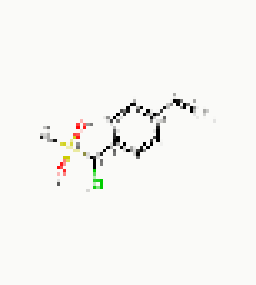 C=Cc1ccc(C(Cl)S(=O)(=O)CC)cc1